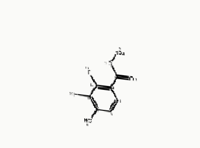 CC(C)(C)OC(=O)c1ccc(O)c(F)c1F